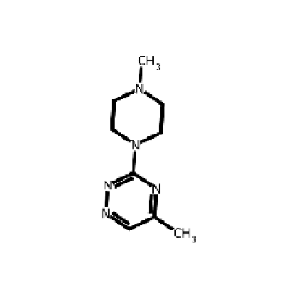 Cc1cnnc(N2CCN(C)CC2)n1